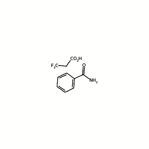 NC(=O)c1ccccc1.O=C(O)CC(F)(F)F